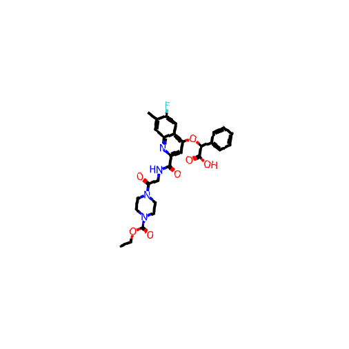 CCOC(=O)N1CCN(C(=O)CNC(=O)c2cc(OC(C(=O)O)c3ccccc3)c3cc(F)c(C)cc3n2)CC1